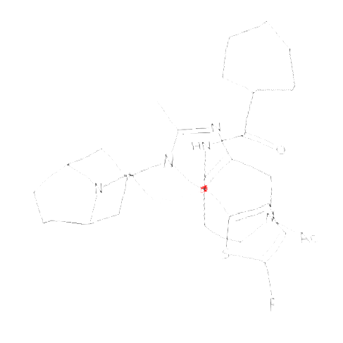 CC(=O)N1CCc2c(nc(C)n2C2CC3CCC(C2)N3CC[C@H](NC(=O)C2CCCCC2)c2ccc(F)s2)C1